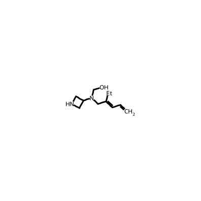 C=C/C=C(\CC)CN(CO)C1CNC1